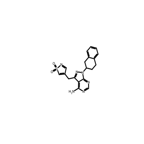 Nc1ncnc2c1c(CC1=CS(=O)(=O)N=C1)nn2C1CCc2ccccc2C1